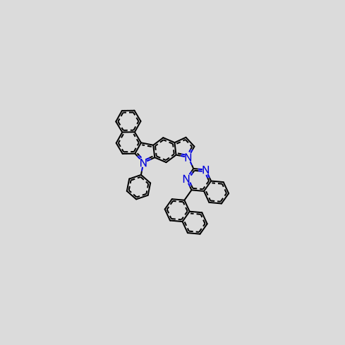 c1ccc(-n2c3cc4c(ccn4-c4nc(-c5cccc6ccccc56)c5ccccc5n4)cc3c3c4ccccc4ccc32)cc1